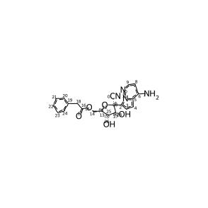 N#C[C@@]1(c2ccc3c(N)ccnn23)O[C@H](COC(=O)Cc2ccccc2)[C@@H](O)[C@H]1O